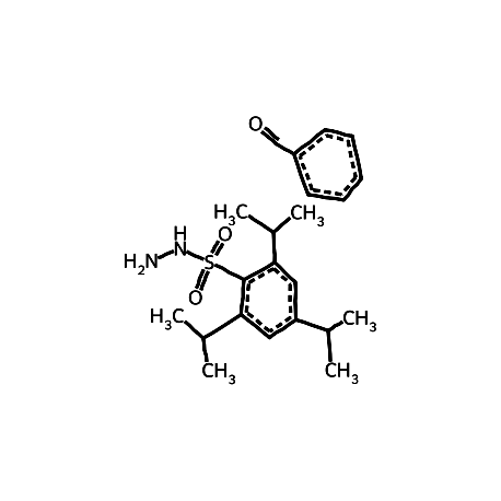 CC(C)c1cc(C(C)C)c(S(=O)(=O)NN)c(C(C)C)c1.O=Cc1ccccc1